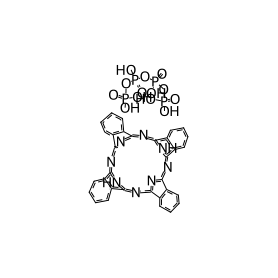 O=P(O)(O)OP(=O)(O)OP(=O)(O)OP(=O)(O)O.c1ccc2c(c1)-c1nc-2nc2[nH]c(nc3nc(nc4[nH]c(n1)c1ccccc41)-c1ccccc1-3)c1ccccc21